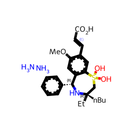 CCCC[C@]1(CC)CS(O)(O)c2cc(/C=C/C(=O)O)c(OC)cc2[C@@H](c2ccccc2)N1.N.N